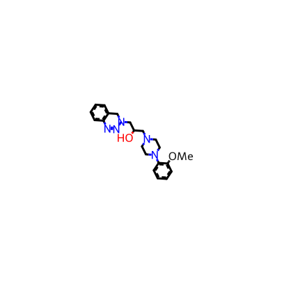 COc1ccccc1N1CCN(CC(O)CN2Cc3ccccc3N=N2)CC1